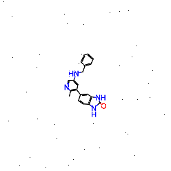 Cc1ncc(NCc2ccccc2)cc1-c1ccc2[nH]c(=O)[nH]c2c1